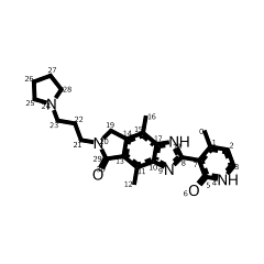 Cc1cc[nH]c(=O)c1-c1nc2c(C)c3c(c(C)c2[nH]1)CN(CCCN1CCCC1)C3=O